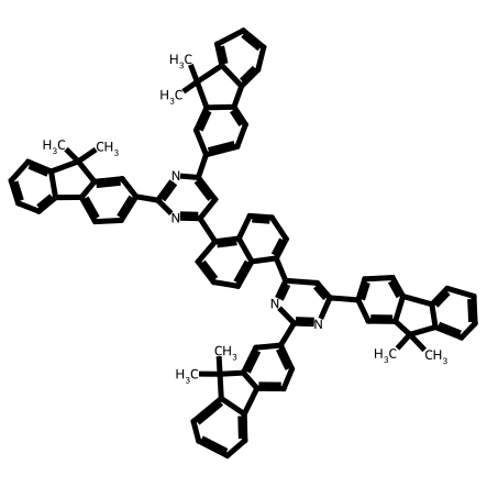 CC1(C)c2ccccc2-c2ccc(-c3cc(-c4cccc5c(-c6cc(-c7ccc8c(c7)C(C)(C)c7ccccc7-8)nc(-c7ccc8c(c7)C(C)(C)c7ccccc7-8)n6)cccc45)nc(-c4ccc5c(c4)C(C)(C)c4ccccc4-5)n3)cc21